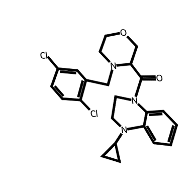 O=C(C1COCCN1Cc1cc(Cl)ccc1Cl)N1CCN(C2CC2)c2ccccc21